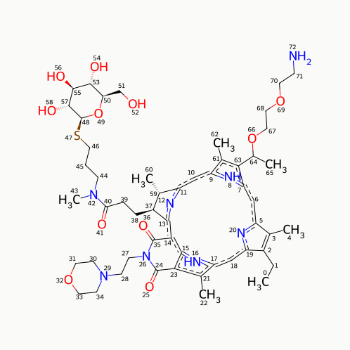 CCC1=C(C)c2cc3[nH]c(cc4nc(c5c6[nH]c(cc1n2)c(C)c6C(=O)N(CCN1CCOCC1)C5=O)[C@@H](CCC(=O)N(C)CCCS[C@@H]1O[C@H](CO)[C@@H](O)[C@H](O)[C@H]1O)[C@@H]4C)c(C)c3C(C)OCCOCCN